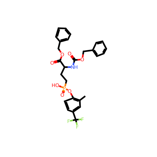 Cc1cc(C(F)(F)F)ccc1OP(=O)(O)CCC(NC(=O)OCc1ccccc1)C(=O)OCc1ccccc1